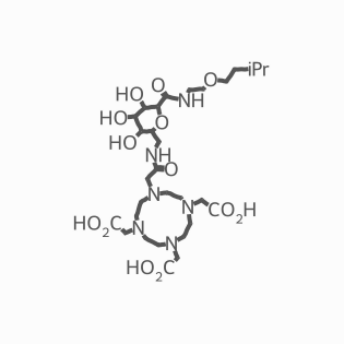 CC(C)CCOCCNC(=O)C1OC(CNC(=O)CN2CCN(CC(=O)O)CCN(CC(=O)O)CCN(CC(=O)O)CC2)C(O)C(O)C1O